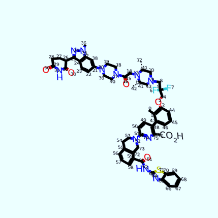 Cc1c(OCC(F)(F)CN2C[C@@H](C)N(CC(=O)N3CCN(c4ccc5c(C6CCC(=O)NC6=O)nn(C)c5c4)CC3)[C@@H](C)C2)cccc1-c1ccc(N2CCc3cccc(C(=O)Nc4nc5ccccc5s4)c3C2)nc1C(=O)O